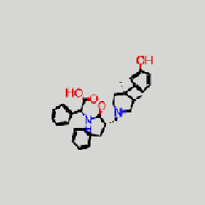 C[C@H]1CN(C[C@H](Cc2ccccc2)C(=O)N[C@H](C(=O)O)c2ccccc2)CC[C@@]1(C)c1cccc(O)c1